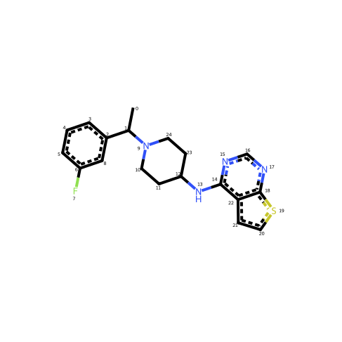 CC(c1cccc(F)c1)N1CCC(Nc2ncnc3sccc23)CC1